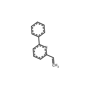 C=Cc1cccc(-c2ccccc2)n1